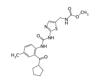 COC(=O)NCc1cnc(NC(=O)Nc2ccc(C)cc2C(=O)C2CCCC2)s1